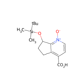 CC(C)(C)[Si](C)(C)OC1CCc2c(C(=O)O)cc[n+]([O-])c21